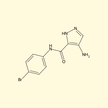 Nc1cn[nH]c1C(=O)Nc1ccc(Br)cc1